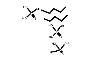 CCCCC.CCCCC.OP(O)(O)=S.OP(O)(O)=S.OP(O)(O)=S